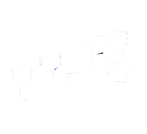 COc1ccnc(C(=O)N[C@H]2COC[C@H](Cc3ccccc3)[C@@H](Cc3ccc(OC(F)(F)F)cc3)[C@H](C)OC2=O)c1O